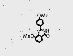 COc1ccc(-c2nc3c(OC)cccc3c(=O)[nH]2)cc1